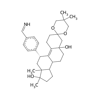 CC1(C)COC2(CCC3=C4C(CCC3(O)C2)C2CCC(C)(O)C2(C)C[C@@H]4c2ccc(C=N)cc2)OC1